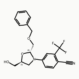 N#Cc1ccc(N2C[C@@H](CO)O[C@@H]2COCc2ccccc2)cc1C(F)(F)F